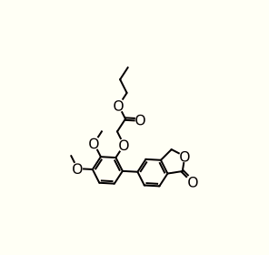 CCCOC(=O)COc1c(-c2ccc3c(c2)COC3=O)ccc(OC)c1OC